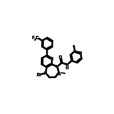 CCN1CC[C@@H](C)N(C(=O)Nc2ccnc(C)c2)c2nc(-c3cccc(C(F)(F)F)c3)ccc21